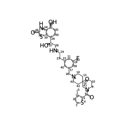 Cc1ccsc1C(=O)N1CCOC2(CCN(Cc3cc(F)cc(CCNCC(O)c4ccc(O)c5[nH]c(=O)sc45)c3)CC2)C1